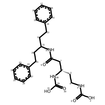 O=C(O)NCC[C@@H](CC(=O)NC(CCc1ccccc1)CCc1ccccc1)NC(=O)O